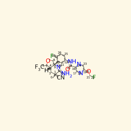 C[C@@]1(C#N)C[C@@H]2C(C(F)(F)F)OC[C@]2(c2cc(NC(=O)c3cnc(OCF)cn3)ccc2F)N=C1N